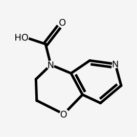 O=C(O)N1CCOc2ccncc21